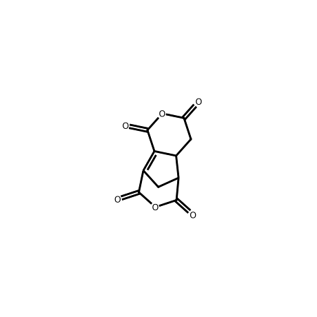 O=C1CC2C(=C3CC2C(=O)OC3=O)C(=O)O1